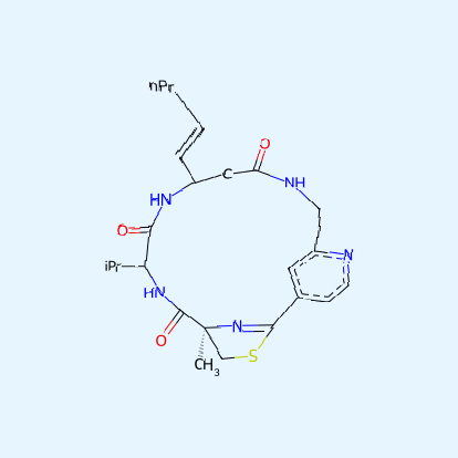 CCC/C=C/C1CC(=O)NCc2cc(ccn2)C2=N[C@@](C)(CS2)C(=O)NC(C(C)C)C(=O)N1